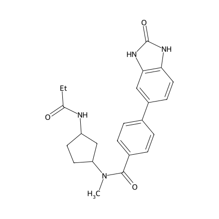 CCC(=O)NC1CCC(N(C)C(=O)c2ccc(-c3ccc4[nH]c(=O)[nH]c4c3)cc2)C1